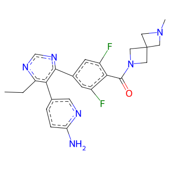 CCc1ncnc(-c2cc(F)c(C(=O)N3CC4(CN(C)C4)C3)c(F)c2)c1-c1ccc(N)nc1